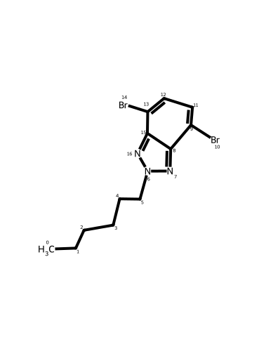 CCCCCCn1nc2c(Br)ccc(Br)c2n1